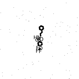 O=S(=O)(NCCCc1ccccc1)c1ccc(OC(F)(F)F)cc1